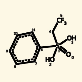 O=S(O)(O)(CC(F)(F)F)c1ccccc1